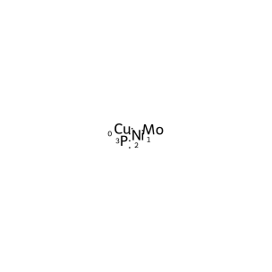 [Cu].[Mo].[Ni].[P]